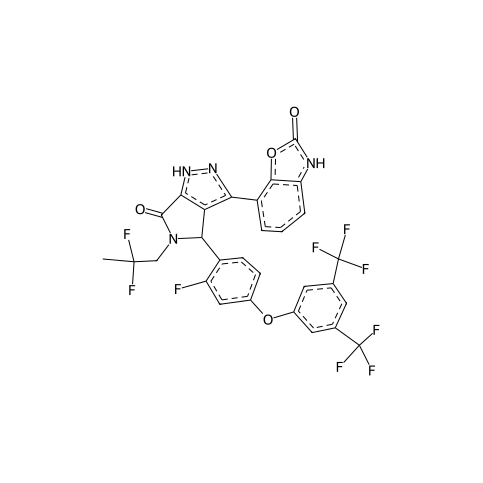 CC(F)(F)CN1C(=O)c2[nH]nc(-c3cccc4[nH]c(=O)oc34)c2C1c1ccc(Oc2cc(C(F)(F)F)cc(C(F)(F)F)c2)cc1F